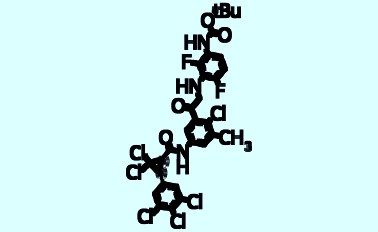 Cc1cc(NC(=O)[C@H]2[C@H](c3cc(Cl)c(Cl)c(Cl)c3)C2(Cl)Cl)cc(C(=O)CNc2c(F)ccc(NC(=O)OC(C)(C)C)c2F)c1Cl